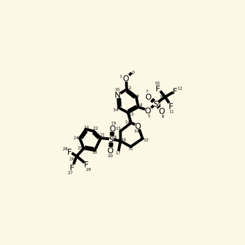 COc1cc(OS(=O)(=O)C(F)(F)F)c(C2CC(C)(S(=O)(=O)c3cccc(C(F)(F)F)c3)CCO2)cn1